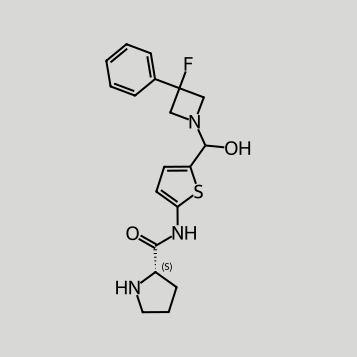 O=C(Nc1ccc(C(O)N2CC(F)(c3ccccc3)C2)s1)[C@@H]1CCCN1